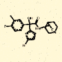 Cc1cc(C(O)(C(=O)NC2CN3CCC2CC3)c2ccc(Br)s2)ccc1F